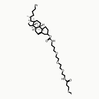 CC(C)CCC[C@@H](C)[C@H]1CC[C@H]2[C@@H]3CC=C4CC(OC(=O)NCCCOCCOCCOCCNC(=O)CCSI)CC[C@]4(C)[C@H]3CC[C@]12C